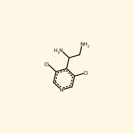 NCC(N)c1c(Cl)cncc1Cl